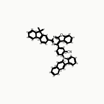 CC1(C)c2cc(-c3nc(-c4ccc(-n5c6c(c7ccccc75)=CC5CC=CC=C5C=6)c(C#N)c4)c4c(n3)oc3ccccc34)ccc2C2C=CC=CC21